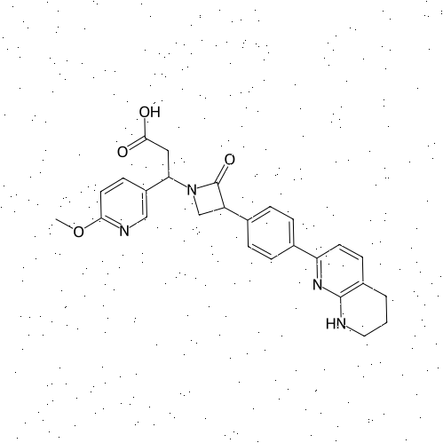 COc1ccc(C(CC(=O)O)N2CC(c3ccc(-c4ccc5c(n4)NCCC5)cc3)C2=O)cn1